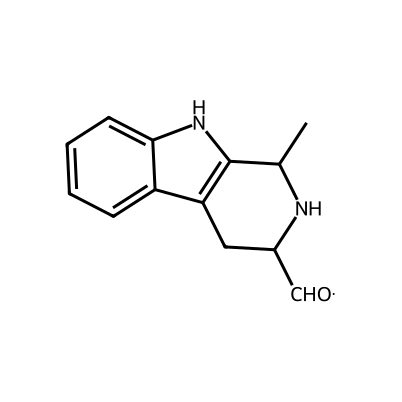 CC1NC([C]=O)Cc2c1[nH]c1ccccc21